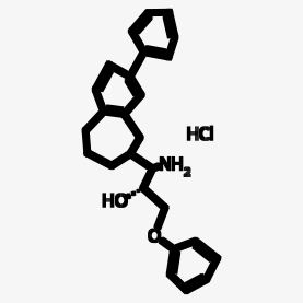 Cl.NC(C1CCCc2ccc(-c3ccccc3)cc2C1)[C@@H](O)COc1ccccc1